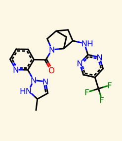 CC1C=NN(c2ncccc2C(=O)N2CC3CC(Nc4ncc(C(F)(F)F)cn4)C2C3)N1